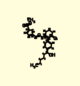 CCCCCC(O)c1ccc(N2C(=O)CCC[C@@H]2COCc2ccc(C(=O)OC)s2)cc1